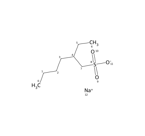 CCCCC(CC)CS(=O)(=O)[O-].[Na+]